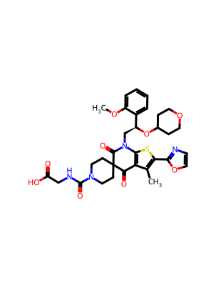 COc1ccccc1[C@H](CN1C(=O)C2(CCN(C(=O)NCC(=O)O)CC2)C(=O)c2c1sc(-c1ncco1)c2C)OC1CCOCC1